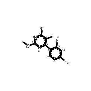 CSc1nc(Cl)c(C)c(-c2ccc(F)cc2F)n1